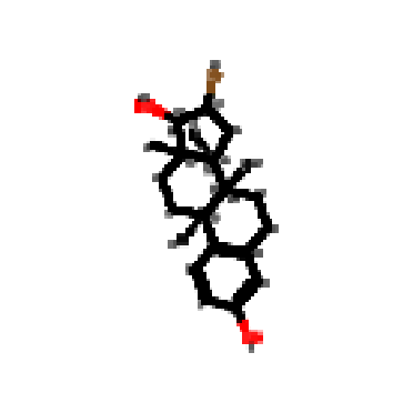 C[C@]12CC[C@@H]3c4ccc(O)cc4CC[C@H]3[C@@H]1CC(Br)[C@@H]2O